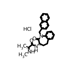 CN[C@@H](C)C(=O)N[C@H]1CCc2ccccc2N(Cc2ccc3ccccc3c2)C1=O.Cl